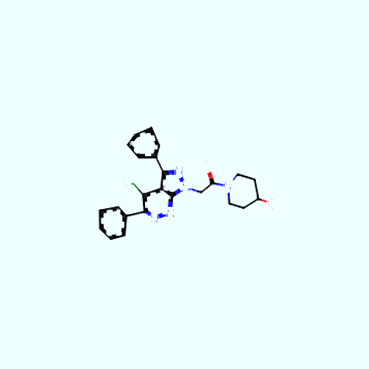 O=C(Cn1nc(-c2ccccc2)c2c(Cl)c(-c3ccccc3)nnc21)N1CCC(O)CC1